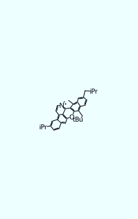 Cc1c2c(c(CC(C)(C)C)c3ccc(CC(C)C)cc13)Oc1cc3ccc(C(C)C)cc3c3cc[n+](C)c-2c13